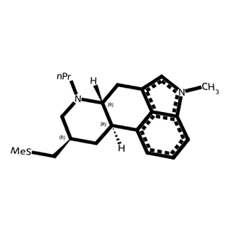 CCCN1C[C@H](CSC)C[C@@H]2c3cccc4c3c(cn4C)C[C@H]21